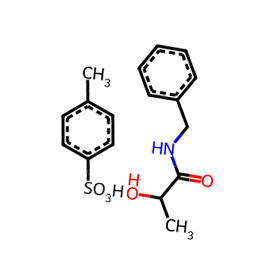 CC(O)C(=O)NCc1ccccc1.Cc1ccc(S(=O)(=O)O)cc1